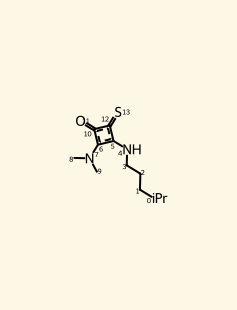 CC(C)CCCNc1c(N(C)C)c(=O)c1=S